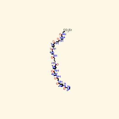 CCOC(=O)CCNC(=O)c1nc(NC(=O)CCNC(=O)c2cc(NC(=O)c3nc(NC(=O)CCCNC(=O)c4cc(NC(=O)c5nc(NC(=O)CCNC(=O)c6cc(NC(=O)c7nccn7C)cn6C)cn5C)cn4C)cn3C)cn2C)cn1C